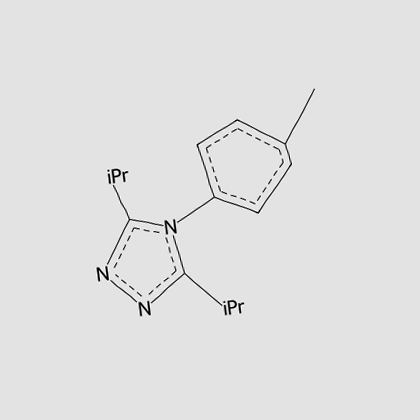 Cc1ccc(-n2c(C(C)C)nnc2C(C)C)cc1